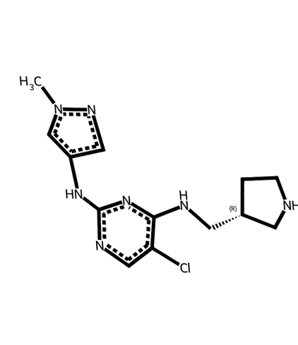 Cn1cc(Nc2ncc(Cl)c(NC[C@@H]3CCNC3)n2)cn1